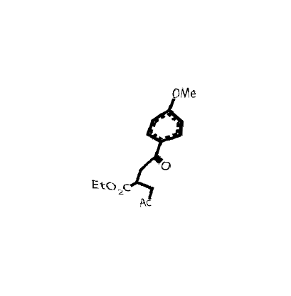 CCOC(=O)C(CC(C)=O)CC(=O)c1ccc(OC)cc1